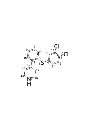 Clc1ccc(Sc2ccccc2C2=CCNCC2)cc1Cl